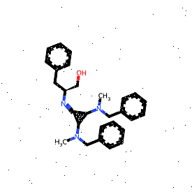 CN(Cc1ccccc1)c1c(N(C)Cc2ccccc2)c1=N[C@H](CO)Cc1ccccc1